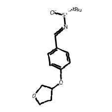 CC(C)(C)[S@@+]([O-])N=Cc1ccc(OC2CCOC2)cc1